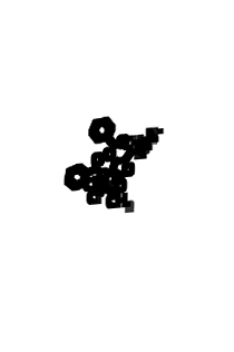 C=C(O[C@@H]1O[C@H]([C@H](C)N=[N+]=[N-])C(OC(=O)c2ccccc2)[C@@H]1OC(=O)c1ccccc1)C(Cl)(Cl)Cl